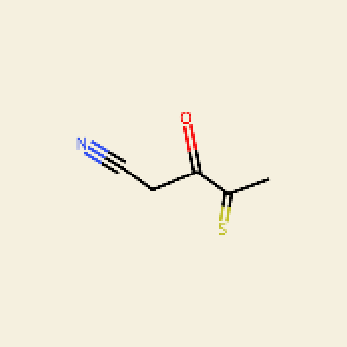 CC(=S)C(=O)CC#N